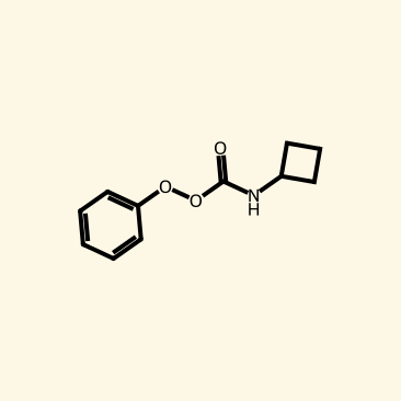 O=C(NC1CCC1)OOc1ccccc1